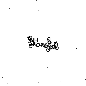 COC(=O)CN(CCNC(=O)OC(C)(C)C)C1CCC(CN(C)c2ccc(N3C(=O)Cc4cc(OC)c(OC(C)C)cc4[C@@H]3c3ccc(Cl)cc3)nc2)CC1